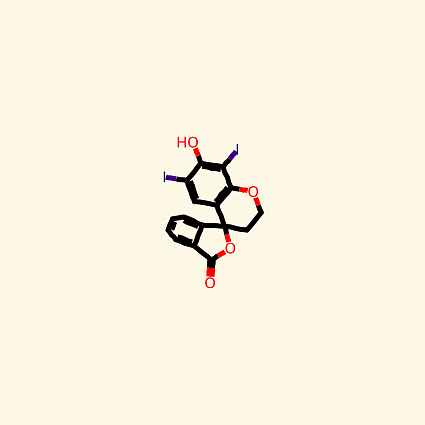 O=C1OC2(CCOc3c2cc(I)c(O)c3I)c2ccccc21